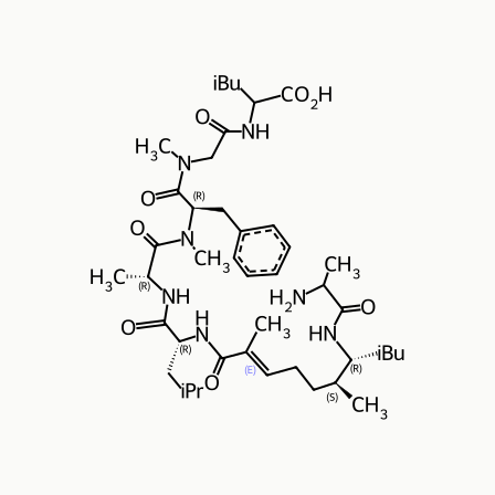 CCC(C)C(NC(=O)CN(C)C(=O)[C@@H](Cc1ccccc1)N(C)C(=O)[C@@H](C)NC(=O)[C@@H](CC(C)C)NC(=O)/C(C)=C/CC[C@H](C)[C@H](NC(=O)C(C)N)C(C)CC)C(=O)O